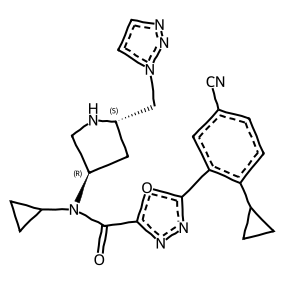 N#Cc1ccc(C2CC2)c(-c2nnc(C(=O)N(C3CC3)[C@H]3CN[C@H](Cn4ccnn4)C3)o2)c1